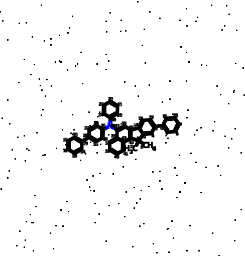 CC1(C)c2cc(-c3ccccc3)ccc2-c2cc(N(c3ccccc3)c3ccc(-c4ccccc4)cc3)c3ccccc3c21